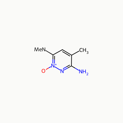 CNc1cc(C)c(N)n[n+]1[O-]